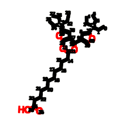 CC[Si](CC)(CC)c1cc(C(OC(=O)CCCCCCCCCCC(=O)O)c2coc([Si](CC)(CC)CC)c2)co1